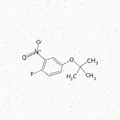 CC(C)(C)Oc1ccc(F)c([N+](=O)[O-])c1